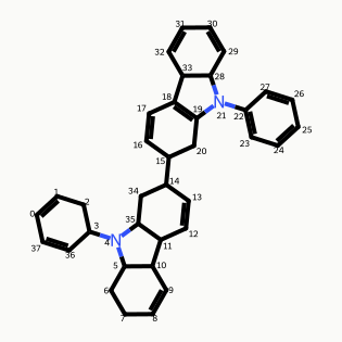 C1=CCC(N2C3CCC=CC3C3C=CC(C4C=CC5=C(C4)N(c4ccccc4)C4C=CC=CC54)CC32)C=C1